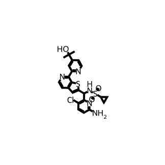 CC(C)(O)c1ccnc(-c2nccc3cc(C(NS(=O)(=O)C4CC4)c4nc(N)ccc4Cl)sc23)c1